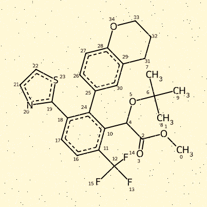 COC(=O)C(OC(C)(C)C)c1c(C(F)(F)F)ccc(-c2nccs2)c1-c1ccc2c(c1)CCCO2